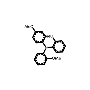 COc1ccc(N(c2ccccc2OC)c2ccccc2OC)cc1